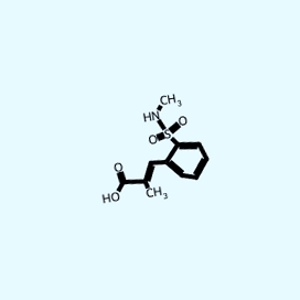 CNS(=O)(=O)c1ccccc1/C=C(\C)C(=O)O